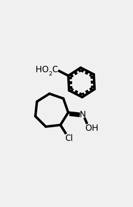 O=C(O)c1ccccc1.ON=C1CCCCCC1Cl